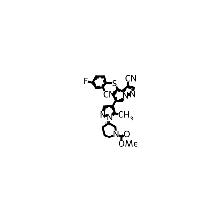 COC(=O)N1CCC[C@H](n2ncc(-c3cc(Sc4ccc(F)cc4C#N)c4c(C#N)cnn4c3)c2C)C1